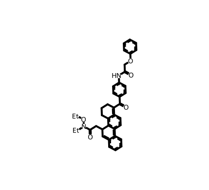 CCON(CC)C(=O)CC1C=c2ccccc2=c2ccc3c(c21)CCCC=3C(=O)c1ccc(NC(=O)COc2ccccc2)cc1